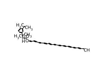 C#CC#CC#CC#CC#CC#CC#CC#CC#CC#CC#CC#COC(=O)NC(C)(C)c1cccc(C(=C)C)c1